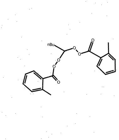 [CH2]CCC[C](OOC(=O)c1ccccc1C)OOC(=O)c1ccccc1C